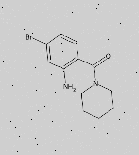 Nc1cc(Br)ccc1C(=O)N1CC[CH]CC1